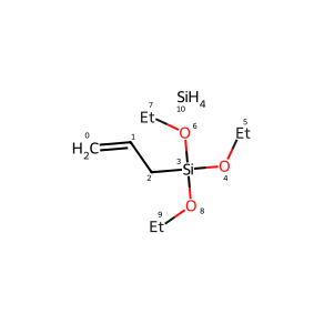 C=CC[Si](OCC)(OCC)OCC.[SiH4]